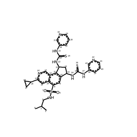 CC(C)CNS(=O)(=O)c1cc2c(c3cnc(C4CC4)cc13)C(NC(=S)Nc1cccnc1)CC2NC(=S)Nc1cccnc1